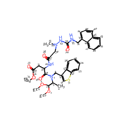 CCOC(OCC)C(C)N(Cc1csc2ccccc12)C(=O)C(CC(=O)OC(C)(C)C)NC(=O)CN(C)NC(=O)NCc1cccc2ccccc12